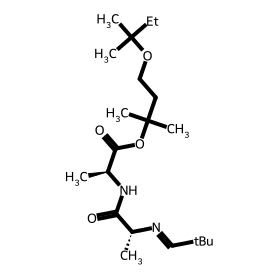 CCC(C)(C)OCCC(C)(C)OC(=O)[C@H](C)NC(=O)[C@@H](C)N=CC(C)(C)C